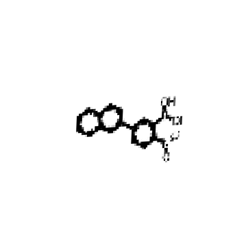 O=[N+]([O-])c1ccc(-c2ccc3ccccc3c2)cc1B(O)O